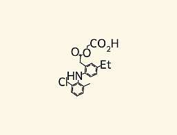 CCc1ccc(Nc2c(C)cccc2Cl)c(CC(=O)OCC(=O)O)c1